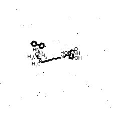 CN(CCCCCCCCCNC[C@@H](O)c1ccc(O)c2[nH]c(=O)ccc12)CCC(C)(C)OC(=O)Nc1ccccc1-c1ccccc1